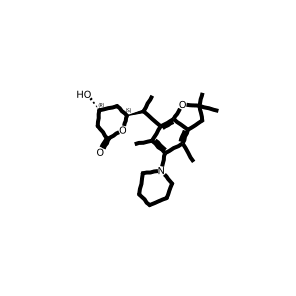 Cc1c2c(c(C(C)[C@@H]3C[C@@H](O)CC(=O)O3)c(C)c1N1CCCCC1)OC(C)(C)C2